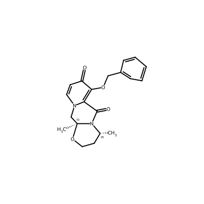 C[C@@H]1CCO[C@@]2(C)Cn3ccc(=O)c(OCc4ccccc4)c3C(=O)N12